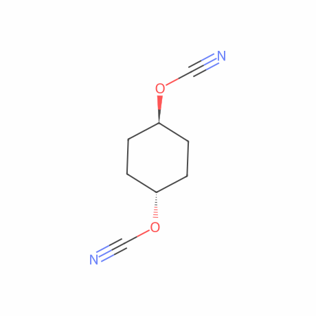 N#CO[C@H]1CC[C@H](OC#N)CC1